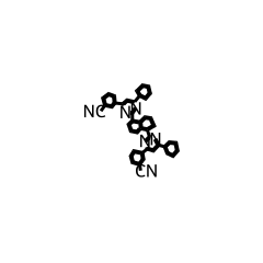 N#Cc1cccc(-c2cc(-c3ccccc3)nc(-c3cccc4c(-c5nc(-c6ccccc6)cc(-c6cccc(C#N)c6)n5)cccc34)n2)c1